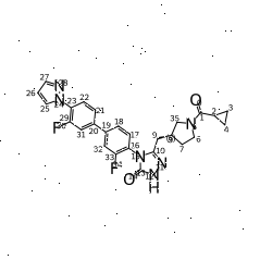 O=C(C1CC1)N1CC[C@@H](Cc2n[nH]c(=O)n2-c2ccc(-c3ccc(-n4cccn4)c(F)c3)cc2F)C1